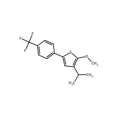 COc1sc(-c2ccc(C(F)(F)F)cc2)cc1C(C)C